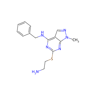 Cn1ncc2c(NCc3ccccc3)nc(SCCN)nc21